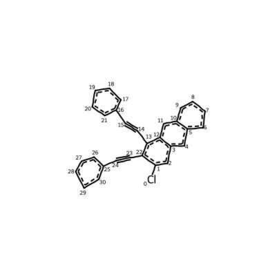 Clc1cc2cc3ccccc3cc2c(C#Cc2ccccc2)c1C#Cc1ccccc1